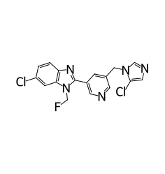 FCn1c(-c2cncc(Cn3cncc3Cl)c2)nc2ccc(Cl)cc21